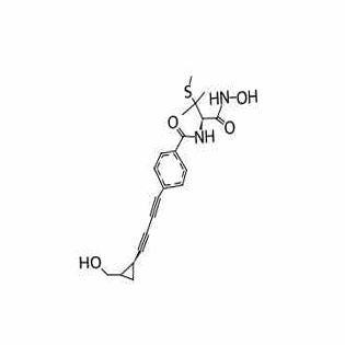 CSC(C)(C)[C@H](NC(=O)c1ccc(C#CC#C[C@H]2CC2CO)cc1)C(=O)NO